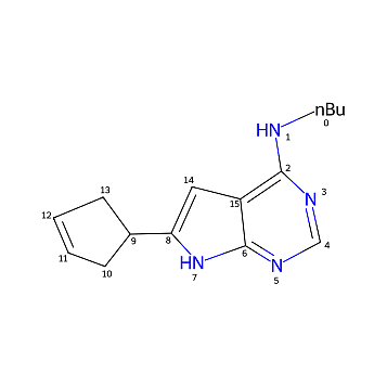 CCCCNc1ncnc2[nH]c(C3CC=CC3)cc12